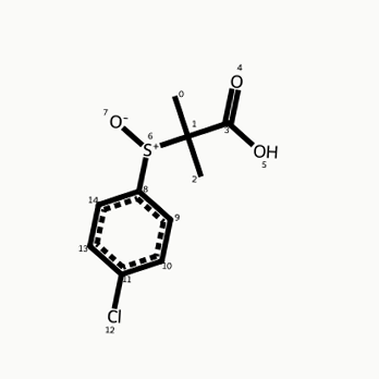 CC(C)(C(=O)O)[S+]([O-])c1ccc(Cl)cc1